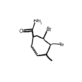 CC1C=CC(C(N)=O)C(Br)C1Br